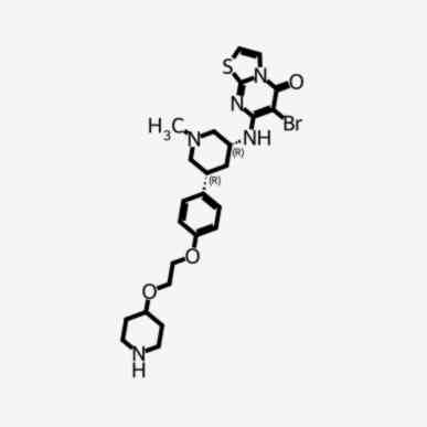 CN1C[C@H](Nc2nc3sccn3c(=O)c2Br)C[C@H](c2ccc(OCCOC3CCNCC3)cc2)C1